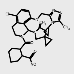 C=C1CC2(CC2)CN1C1c2c(OCc3nnc(C)n3C3CC3)ccc(Cl)c2CCN1C(=O)C1CCCCC1C(=O)N=O